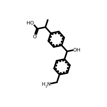 CC(C(=O)O)c1ccc(C(O)c2ccc(CN)cc2)cc1